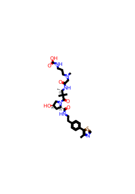 Cc1ncsc1-c1ccc(CCNC(=O)[C@@H]2C[C@@H](O)CN2C(=O)C(C)(C)[C@H](C)NC(=O)CN(C)CCCNC(=O)O)cc1